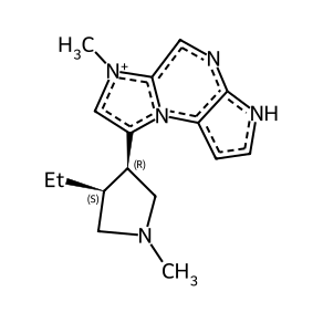 CC[C@@H]1CN(C)C[C@@H]1c1c[n+](C)c2cnc3[nH]ccc3n12